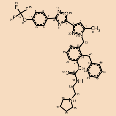 Cc1cc(-c2nc(-c3ccc(OC(F)(F)F)cc3)no2)nn1Cc1cccc(OC(=O)NCCN2CCCC2)c1Cc1ccccc1